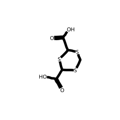 O=C(O)C1SCSC(C(=O)O)S1